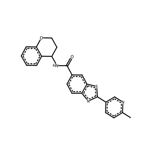 Cc1ccc(-c2nc3ccc(C(=O)NC4CCOc5ccccc54)cc3s2)cn1